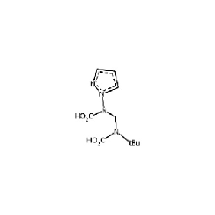 CC(C)(C)N(CN(C(=O)O)n1cccn1)C(=O)O